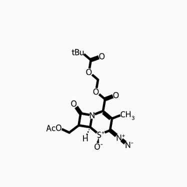 CC(=O)OCC1C(=O)N2C(C(=O)OCOC(=O)C(C)(C)C)=C(C)C(=[N+]=[N-])[S@@+]([O-])[C@@H]12